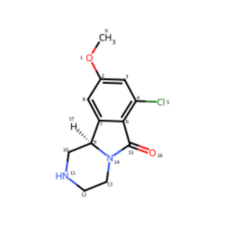 COc1cc(Cl)c2c(c1)[C@@H]1CNCCN1C2=O